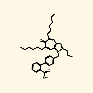 CCCCCCc1cc2nc(CCC)n(Cc3ccc(-c4ccccc4C(=O)O)cc3)c2cc(CCCCCC)c1=O